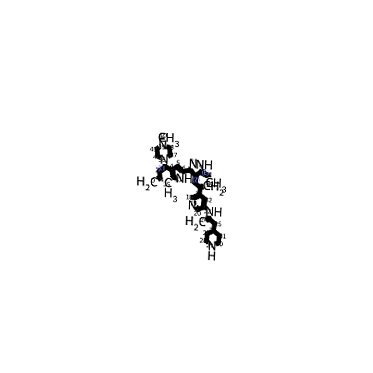 C=C/C=C(\c1cc(-c2n[nH]c(=C/C)/c2=C\C(=C)c2cncc(NC(=C)CC3CCNCC3)c2)[nH]c1C)N1CCN(C)CC1